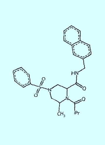 CC(C)C(=O)N1C(C)CN(S(=O)(=O)c2ccccc2)CC1C(=O)NCc1ccc2ccccc2c1